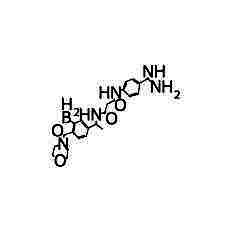 Bc1cc(C(C)NC(=O)CC(=O)Nc2ccc(C(=N)N)cc2)ccc1C(=O)N1CCOCC1